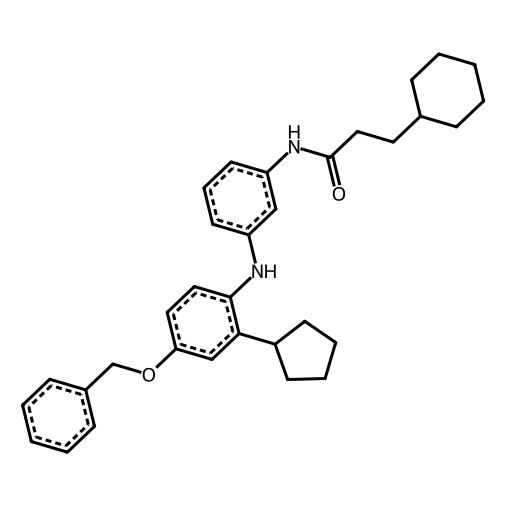 O=C(CCC1CCCCC1)Nc1cccc(Nc2ccc(OCc3ccccc3)cc2C2CCCC2)c1